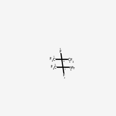 CCCC(F)(C(F)(F)F)C(F)(C(F)(F)F)C(F)(F)F